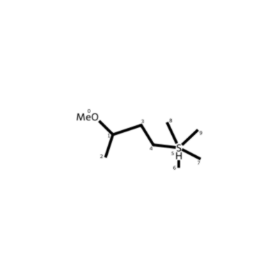 COC(C)CC[SH](C)(C)(C)C